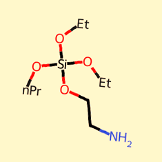 CCCO[Si](OCC)(OCC)OCCN